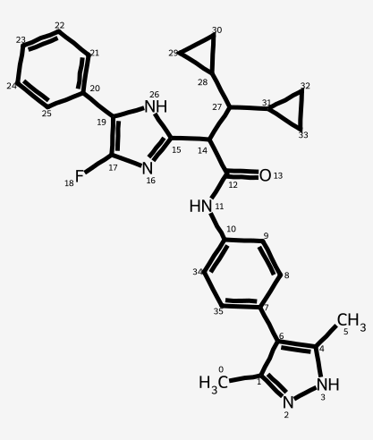 Cc1n[nH]c(C)c1-c1ccc(NC(=O)C(c2nc(F)c(-c3ccccc3)[nH]2)C(C2CC2)C2CC2)cc1